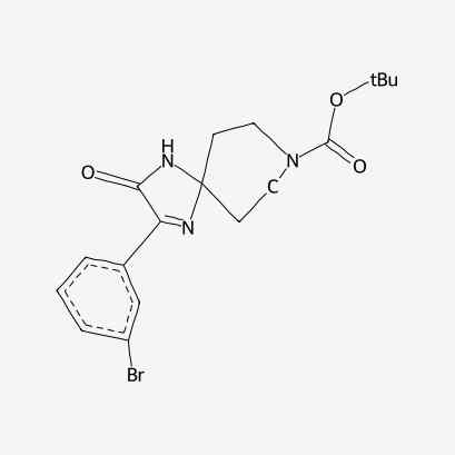 CC(C)(C)OC(=O)N1CCC2(CC1)N=C(c1cccc(Br)c1)C(=O)N2